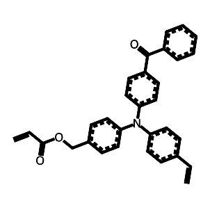 C=CC(=O)OCc1ccc(N(c2ccc(C=C)cc2)c2ccc(C(=O)c3ccccc3)cc2)cc1